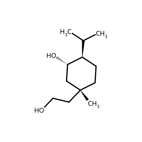 CC(C)[C@H]1CC[C@](C)(CCO)C[C@@H]1O